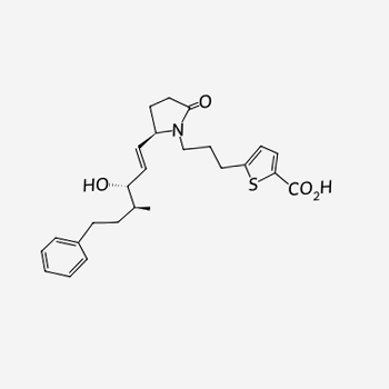 C[C@@H](CCc1ccccc1)[C@H](O)/C=C/[C@H]1CCC(=O)N1CCCc1ccc(C(=O)O)s1